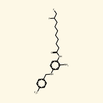 Nc1cc(NCc2ccc(C(F)(F)F)cc2)ccc1NC(=O)CCCCCCCC(F)CF